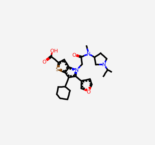 CC(C)N1CCC(N(C)C(=O)Cn2c(-c3ccoc3)c(C3CCCCC3)c3sc(C(=O)O)cc32)C1